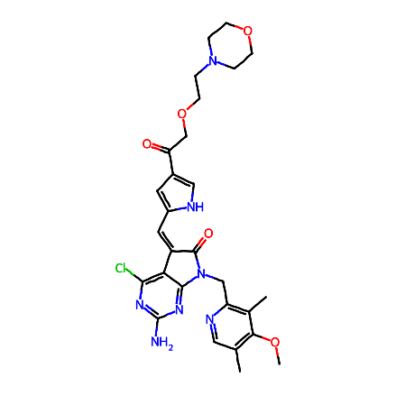 COc1c(C)cnc(CN2C(=O)C(=Cc3cc(C(=O)COCCN4CCOCC4)c[nH]3)c3c(Cl)nc(N)nc32)c1C